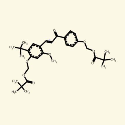 COc1cc(OCOC(=O)C(C)(C)C)c(C(C)(C)C)cc1/C=C/C(=O)c1ccc(OCOC(=O)C(C)(C)C)cc1